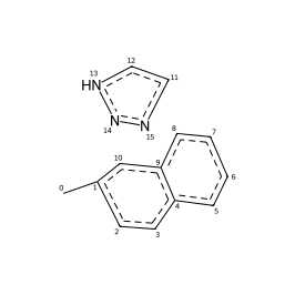 Cc1ccc2ccccc2c1.c1c[nH]nn1